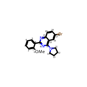 COc1ccccc1-c1nc(N2CCCC2)c2cc(Br)ccc2n1